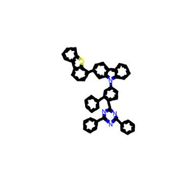 c1ccc(-c2nc(-c3ccccc3)nc(-c3ccc(-n4c5ccccc5c5ccc(-c6cccc7c6sc6ccccc67)cc54)cc3-c3ccccc3)n2)cc1